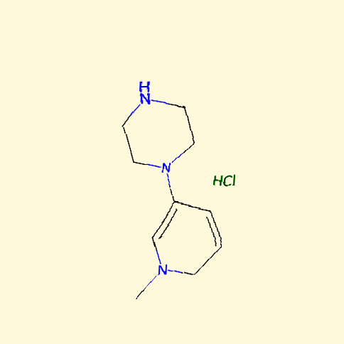 CN1C=C(N2CCNCC2)C=CC1.Cl